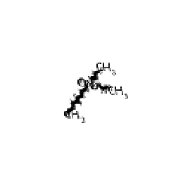 CCCCCCCCCC(=O)N(CCCCC)OCCCC